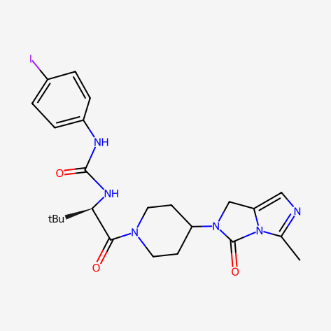 Cc1ncc2n1C(=O)N(C1CCN(C(=O)[C@H](NC(=O)Nc3ccc(I)cc3)C(C)(C)C)CC1)C2